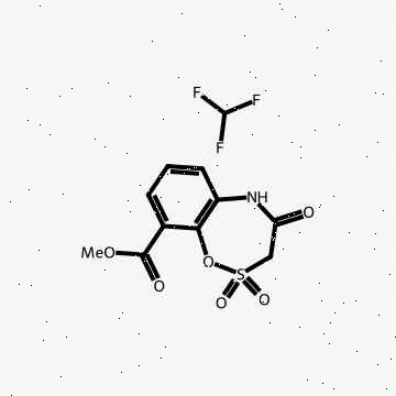 COC(=O)c1cccc2c1OS(=O)(=O)CC(=O)N2.FC(F)F